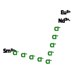 [Cl-].[Cl-].[Cl-].[Cl-].[Cl-].[Cl-].[Cl-].[Cl-].[Cl-].[Eu+3].[Nd+3].[Sm+3]